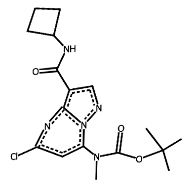 CN(C(=O)OC(C)(C)C)c1cc(Cl)nc2c(C(=O)NC3CCC3)cnn12